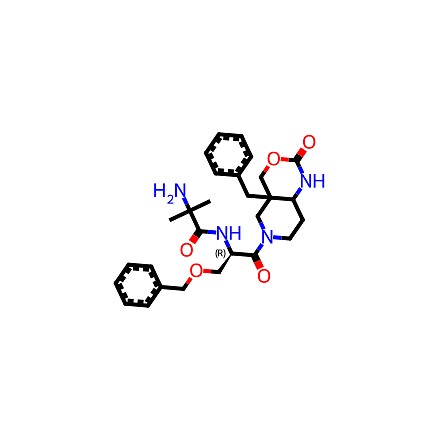 CC(C)(N)C(=O)N[C@H](COCc1ccccc1)C(=O)N1CCC2NC(=O)OCC2(Cc2ccccc2)C1